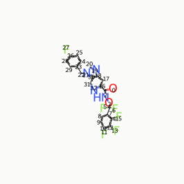 O=C(NOC(F)(F)c1ccc(F)c(F)c1F)c1cc2ncn(Cc3ccc(F)cc3)c2cn1